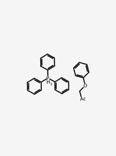 CC(=O)COc1ccccc1.c1ccc([PH2](c2ccccc2)c2ccccc2)cc1